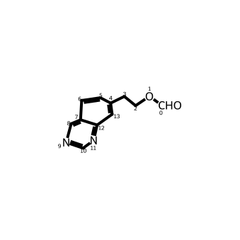 O=COCCc1ccc2cncnc2c1